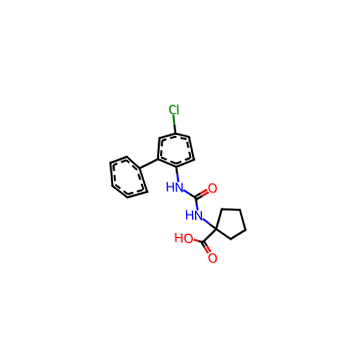 O=C(Nc1ccc(Cl)cc1-c1ccccc1)NC1(C(=O)O)CCCC1